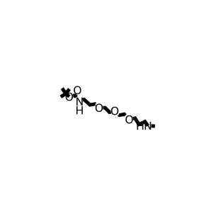 CNCCCOCCOCCOCCCNC(=O)OC(C)(C)C